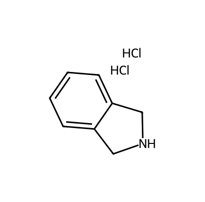 Cl.Cl.c1ccc2c(c1)CNC2